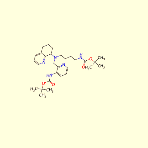 CC(C)(C)OC(=O)NCCCCN(Cc1ncccc1NC(=O)OC(C)(C)C)C1CCCc2cccnc21